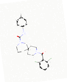 O=C(Nc1ccc(C(F)(F)F)cc1)N1CCCC2(CCN(C(=O)c3c(F)cccc3F)CC2)C1